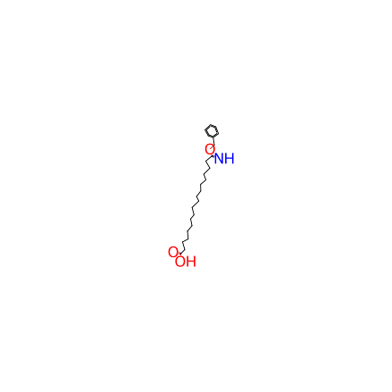 N=C(CCCCCCCCCCCCCCCCC(=O)O)OCc1ccccc1